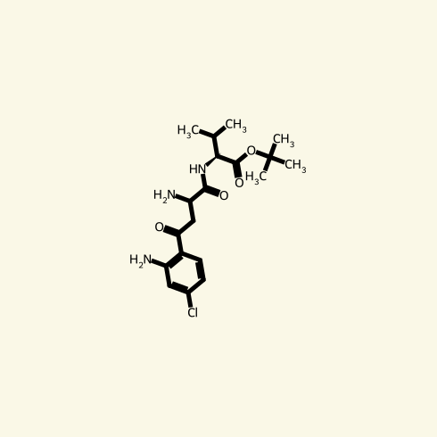 CC(C)[C@H](NC(=O)C(N)CC(=O)c1ccc(Cl)cc1N)C(=O)OC(C)(C)C